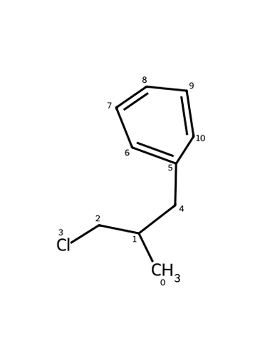 CC(CCl)Cc1ccccc1